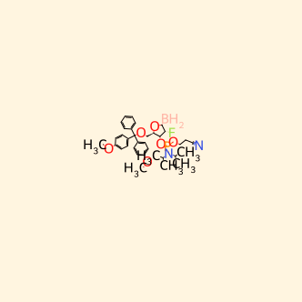 B[C@@H]1O[C@H](COC(c2ccccc2)(c2ccc(OC)cc2)c2ccc(OC)cc2)[C@@H](OP(OCCC#N)N(C(C)C)C(C)C)[C@H]1F